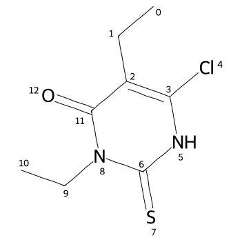 CCc1c(Cl)[nH]c(=S)n(CC)c1=O